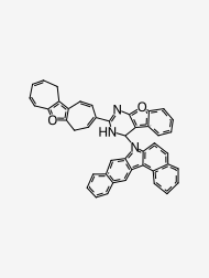 C1=CCc2c(oc3c2C=CC(C2=Nc4oc5ccccc5c4C(n4c5cc6ccccc6cc5c5c6ccccc6ccc54)N2)=CC3)C=C1